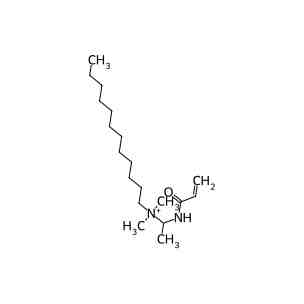 C=CC(=O)NC(C)[N+](C)(C)CCCCCCCCCCCC